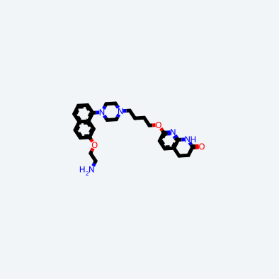 NCCOc1ccc2cccc(N3CCN(CCCCOc4ccc5c(n4)NC(=O)CC5)CC3)c2c1